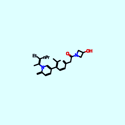 C=C(/C=C\C(C1=CN(/C(C)=C(/CC)CCC)C(=C)C=C1)=C(C)C)CC(=O)N1CC(O)C1